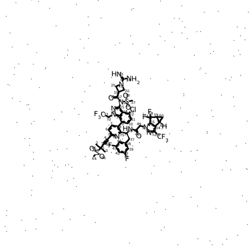 CC(C)(C#Cc1ccc(-c2ccc(Cl)c3c(N(C(=O)C4CN(C(=N)N)C4)S(C)(=O)=O)nn(CC(F)(F)F)c23)c([C@H](Cc2cc(F)cc(F)c2)NC(=O)Cn2nc(C(F)(F)F)c3c2C(F)(F)C2C[C@H]32)n1)S(C)(=O)=O